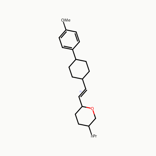 CCCC1CCC(/C=C/C2CCC(c3ccc(OC)cc3)CC2)OC1